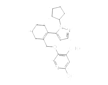 O=Cc1cc(O)ncc1OCC1=C(c2ccnn2C2CCCC2)CCCC1